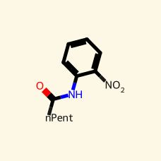 CCCCCC(=O)Nc1ccccc1[N+](=O)[O-]